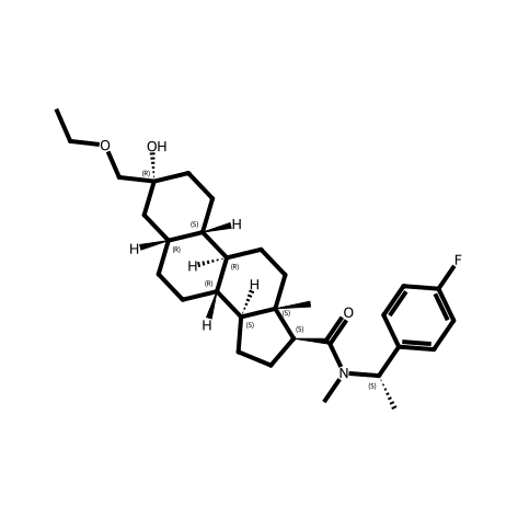 CCOC[C@@]1(O)CC[C@H]2[C@H](CC[C@@H]3[C@@H]2CC[C@]2(C)[C@@H](C(=O)N(C)[C@@H](C)c4ccc(F)cc4)CC[C@@H]32)C1